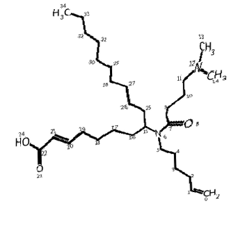 C=CCCCCN(C(=O)CCCN(C)C)C(CCCCC=CC(=O)O)CCCCCCCCCC